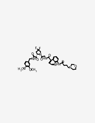 COc1ccc(CNC(=O)C(=O)[C@@H]2CC(F)(F)CN2C(=O)CNC(=O)c2ccnc3c(NC(=O)CCCN4CCOCC4)cccc23)cc1OC